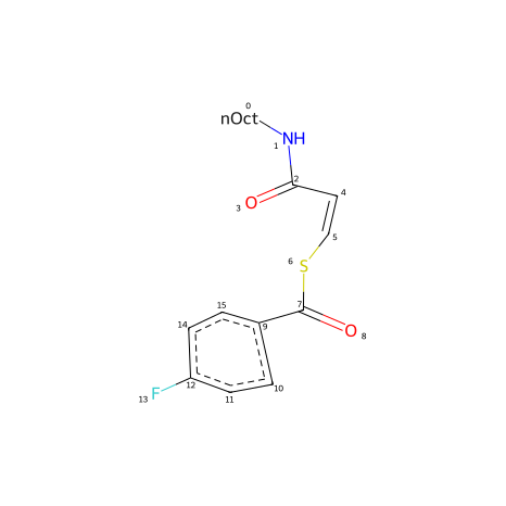 CCCCCCCCNC(=O)/C=C\SC(=O)c1ccc(F)cc1